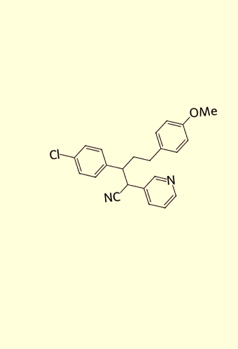 COc1ccc(CCC(c2ccc(Cl)cc2)C(C#N)c2cccnc2)cc1